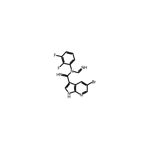 N=CN(C(=N)c1c[nH]c2ncc(Br)cc12)c1cccc(F)c1F